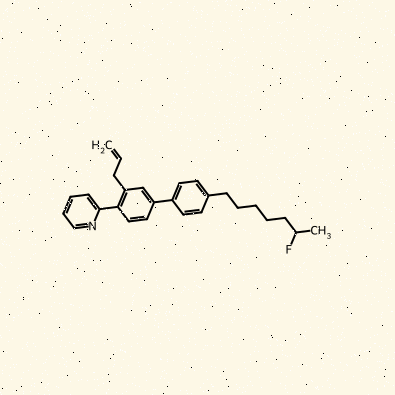 C=CCc1cc(-c2ccc(CCCCCC(C)F)cc2)ccc1-c1ccccn1